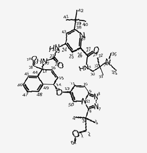 COCC(C)(C)c1nnc2ccc(O[C@@H]3C=C[C@](C=O)(NC(=O)Nc4cc(C(=O)NCC(C)(C)N(C)C)nc(C(C)(C)C)c4)c4ccccc43)cn12